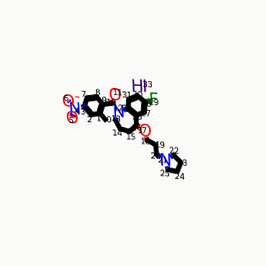 Cc1cc([N+](=O)[O-])ccc1C(=O)N1CCCC(OCCCN2CCCC2)c2cc(F)ccc21.I